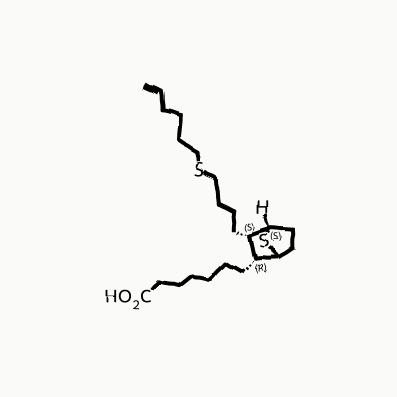 C=CCCCCSCCCC[C@@H]1[C@@H]2CCC(S2)[C@@H]1CCCCCCC(=O)O